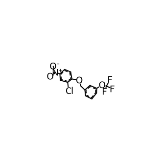 O=[N+]([O-])c1ccc(OCc2cccc(OC(F)(F)F)c2)c(Cl)c1